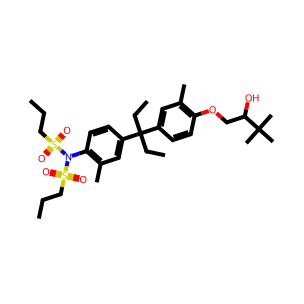 CCCS(=O)(=O)N(c1ccc(C(CC)(CC)c2ccc(OCC(O)C(C)(C)C)c(C)c2)cc1C)S(=O)(=O)CCC